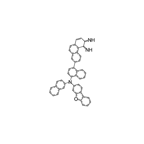 N=C1C=Cc2ccc3cc(-c4ccc(N(c5ccc6ccccc6c5)c5ccc6c(c5)oc5ccccc56)c5ccccc45)ccc3c2C1=N